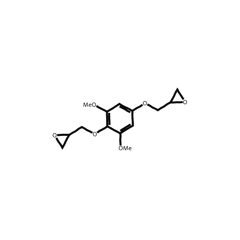 COc1cc(OCC2CO2)cc(OC)c1OCC1CO1